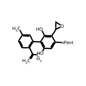 C=C(C)c1ccc(C)cc1-c1c(O)cc(CCCCC)c(C2CO2)c1O